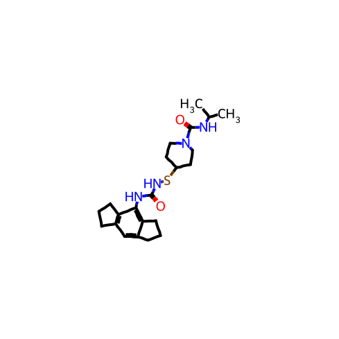 CC(C)NC(=O)N1CCC(SNC(=O)Nc2c3c(cc4c2CCC4)CCC3)CC1